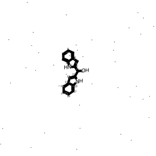 OC(c1cc2ccccc2[nH]1)c1cc2ccccc2[nH]1